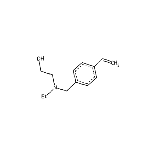 C=Cc1ccc(CN(CC)CCO)cc1